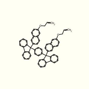 C=CCOc1ccc2cc(C3(c4ccc(C5(c6ccc7cc(OCC=C)ccc7c6)c6ccccc6-c6ccccc65)cc4)c4ccccc4-c4ccccc43)ccc2c1